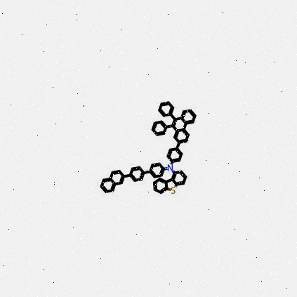 c1ccc(-c2c(-c3ccccc3)c3cc(-c4ccc(N(c5ccc(-c6ccc(-c7ccc8ccccc8c7)cc6)cc5)c5cccc6sc7ccccc7c56)cc4)ccc3c3ccccc23)cc1